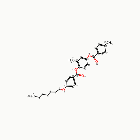 COCCCCCCOc1ccc(C(=O)Oc2ccc(OC(=O)c3ccc(C)cc3)cc2C)cc1